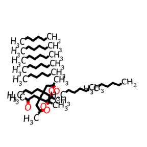 CCCCC(CC(C)=O)(CC(C)=O)C(CC(C)=O)(CC(C)=O)CC(C)=O.CCCCCC.CCCCCC.CCCCCC.CCCCCC.CCCCCC.CCCCCC.CCCCCC